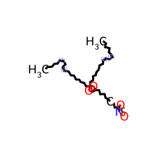 CCCCC/C=C\C/C=C\CCCCCCCCC1(CCCCCCCC/C=C\C/C=C\CCCCC)OCC(CCCCCCCCC(=O)N=S=O)O1